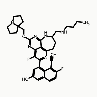 C#Cc1c(F)ccc2cc(O)cc(-c3nc4c5c(nc(OCC67CCCN6CCC7)nc5c3F)NC(CNCCCC)CC4)c12